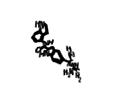 C=C(N)N/N=C(\C)c1ccc2[nH]c(C(=O)Nc3cccc4[nH]ccc34)cc2c1